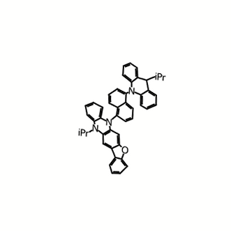 CC(C)C1c2ccccc2N(c2cccc3c(N4c5ccccc5N(C(C)C)c5cc6c(cc54)oc4ccccc46)cccc23)c2ccccc21